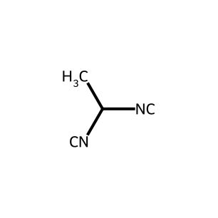 [C-]#[N+]C(C)[N+]#[C-]